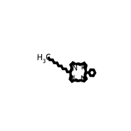 CCCCCCCCCCC1=C2C=CC(=N2)C=C2C=CC(=N2)C(C2CCCCC2)=C2C=CC(=N2)C=C2C=CC1=N2